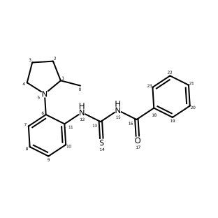 CC1CCCN1c1ccccc1NC(=S)NC(=O)c1ccccc1